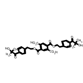 CC(C)(O)C(=O)c1ccc(CCOC(=O)c2cc(C(=O)O)c(C(=O)OCCc3ccc(C(=O)C(C)(C)O)cc3)cc2C(=O)O)cc1